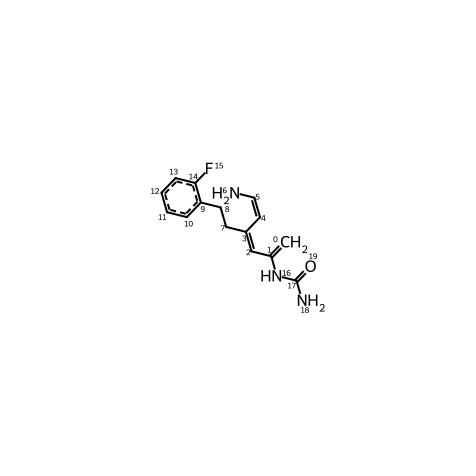 C=C(/C=C(\C=C/N)CCc1ccccc1F)NC(N)=O